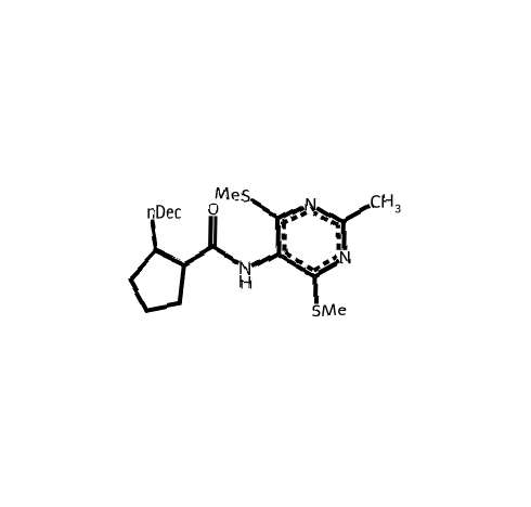 CCCCCCCCCCC1CCCC1C(=O)Nc1c(SC)nc(C)nc1SC